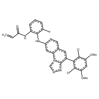 C=CC(=O)Nc1cccc(F)c1Nc1cc2c(cn1)cc(-c1c(Cl)c(OC)cc(OC)c1Cl)c1nncn12